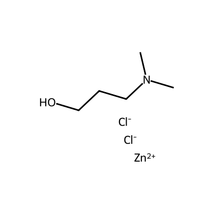 CN(C)CCCO.[Cl-].[Cl-].[Zn+2]